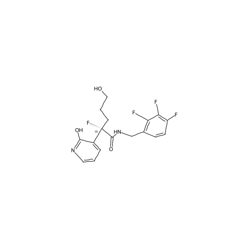 O=C(NCc1ccc(F)c(F)c1F)[C@](F)(CCCO)c1cccnc1O